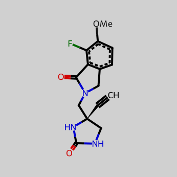 C#C[C@@]1(CN2Cc3ccc(OC)c(F)c3C2=O)CNC(=O)N1